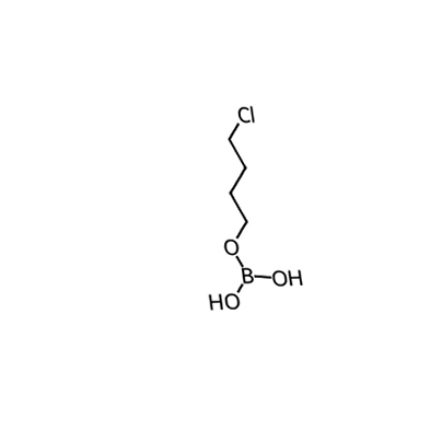 OB(O)OCCCCCl